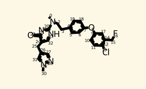 CN(CCc1ccc(Oc2ccc(Cl)c(CF)c2)cc1)c1nc(=O)c(Cc2cnn(C)c2)c[nH]1